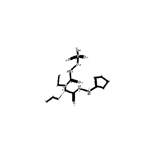 CCC[C@@H](C(=O)NNC1CCCC1)N(CC)C(=O)NOS(=O)(=O)O